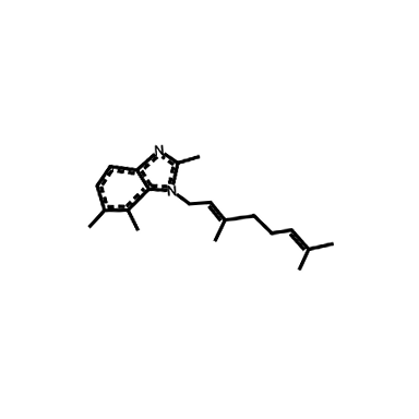 CC(C)=CCC/C(C)=C/Cn1c(C)nc2ccc(C)c(C)c21